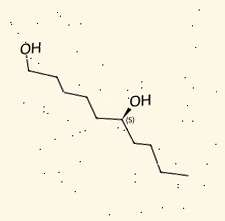 CCCC[C@H](O)CCCCCO